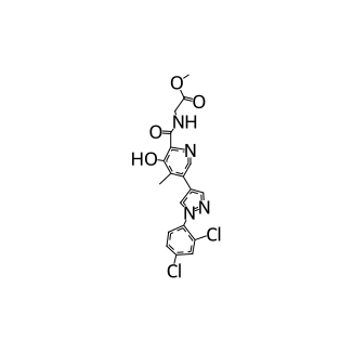 COC(=O)CNC(=O)c1ncc(-c2cnn(-c3ccc(Cl)cc3Cl)c2)c(C)c1O